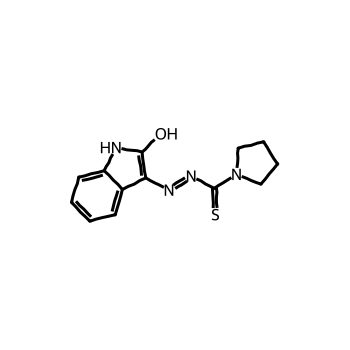 Oc1[nH]c2ccccc2c1N=NC(=S)N1CCCC1